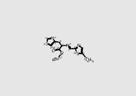 Cc1cnc(C=NC(Cc2cscn2)C(=O)OC(C)(C)C)s1